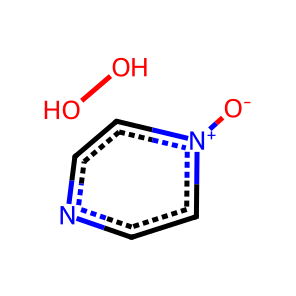 OO.[O-][n+]1ccncc1